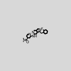 CN(C)C(=O)c1ccnc(Nc2cc3c(cn2)cnn3Cc2ccccc2F)c1